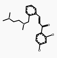 CN(C)CCN(C)Cc1ccccc1C=CC(=O)c1ccc(Cl)cc1Cl